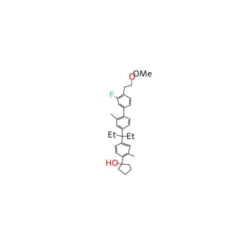 CCC(CC)(c1ccc(-c2ccc(CCOOC)c(F)c2)c(C)c1)c1ccc(C2(O)CCCC2)c(C)c1